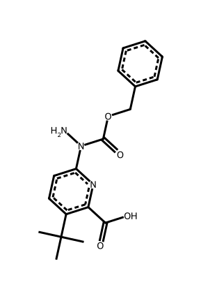 CC(C)(C)c1ccc(N(N)C(=O)OCc2ccccc2)nc1C(=O)O